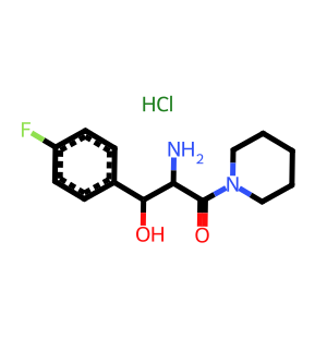 Cl.NC(C(=O)N1CCCCC1)C(O)c1ccc(F)cc1